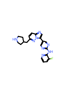 Fc1cccnc1Nc1ncc(-c2cnc3ccc(CC4CCNCC4)nn23)cn1